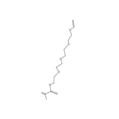 C=COCCOCCOCCOCCOC(=O)C(=C)C